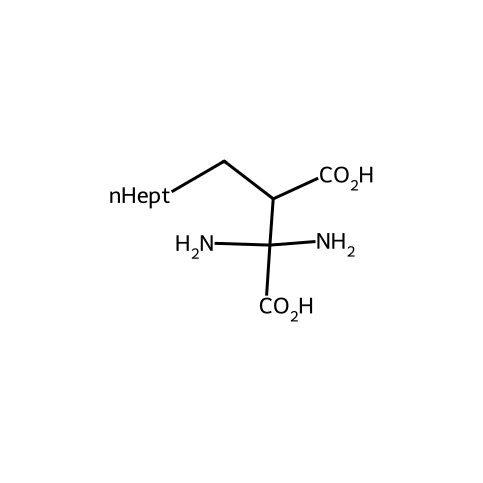 CCCCCCCCC(C(=O)O)C(N)(N)C(=O)O